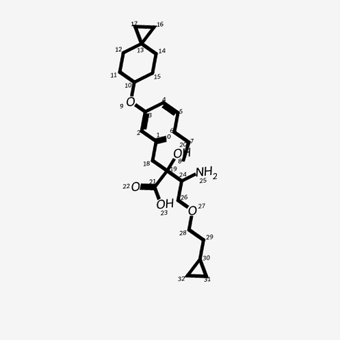 C=C(/C=C(\C=C/CCC)OC1CCC2(CC1)CC2)CC(O)(C(=O)O)C(N)COCCC1CC1